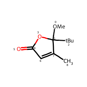 COC1(C(C)(C)C)OC(=O)C=C1C